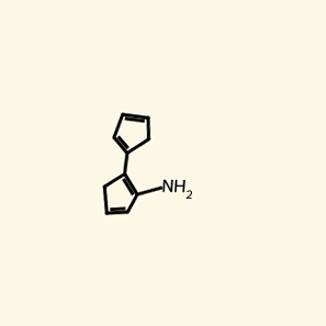 NC1=C(C2=CC=CC2)CC=C1